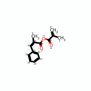 C=C(C)C(=O)OC(=O)C(C)=Cc1ccccc1